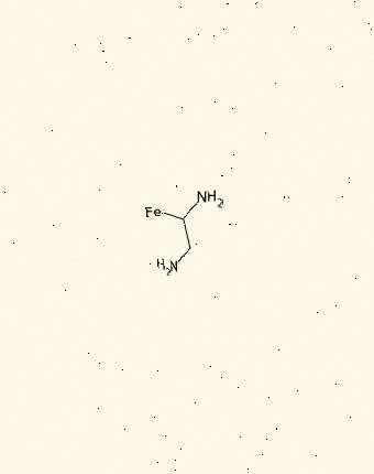 NC[CH](N)[Fe]